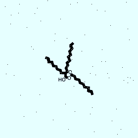 CC=CCCCCCCCC1OC(O)C(CCCCCCC=CC)C(CCCCCCCC=CC)O1